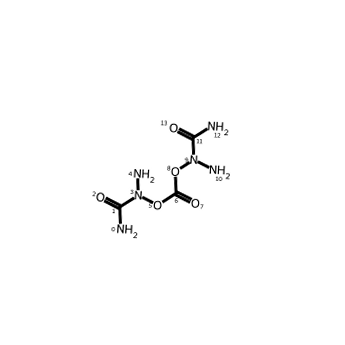 NC(=O)N(N)OC(=O)ON(N)C(N)=O